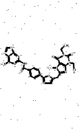 CCn1c(=O)c2c(nc(Cc3cnc(-c4ccc(C(=O)Nc5nc(N)c6nc[nH]c6n5)cc4)o3)n2C)n(CC)c1=O